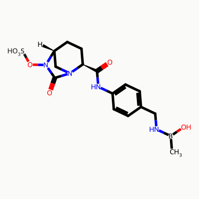 CB(O)NCc1ccc(NC(=O)[C@@H]2CC[C@@H]3CN2C(=O)N3OS(=O)(=O)O)cc1